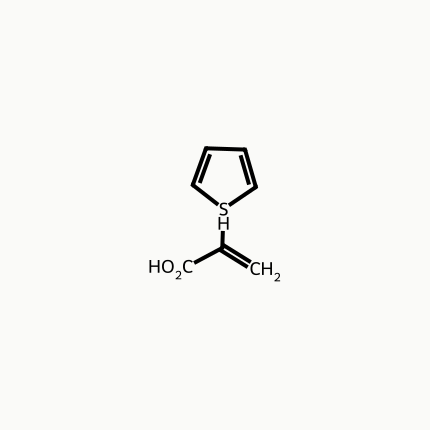 C=C(C(=O)O)[SH]1C=CC=C1